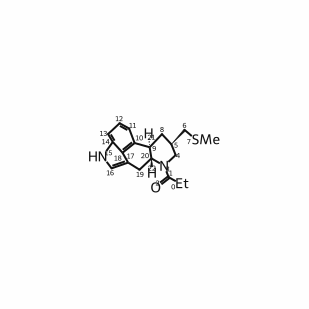 CCC(=O)N1C[C@H](CSC)C[C@@H]2c3cccc4[nH]cc(c34)C[C@H]21